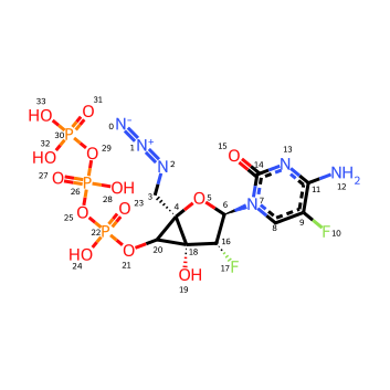 [N-]=[N+]=NC[C@]12O[C@@H](n3cc(F)c(N)nc3=O)[C@H](F)[C@@]1(O)C2OP(=O)(O)OP(=O)(O)OP(=O)(O)O